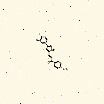 Cc1ccc(C(=O)C=Cc2cc(-c3ccc(F)c(F)c3)n[nH]2)cc1